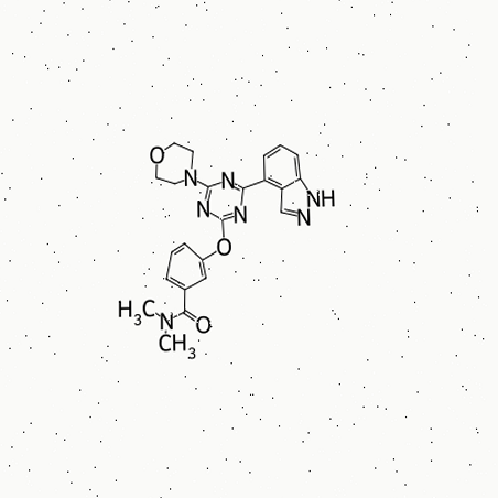 CN(C)C(=O)c1cccc(Oc2nc(-c3cccc4[nH]ncc34)nc(N3CCOCC3)n2)c1